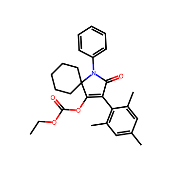 CCOC(=O)OC1=C(c2c(C)cc(C)cc2C)C(=O)N(c2ccccc2)C12CCCCC2